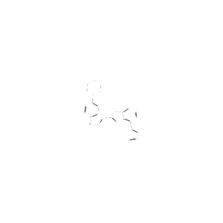 Cc1ccc(-c2cncc3[nH]c(-c4n[nH]c5ccc(C6CCNCC6)cc45)cc23)s1